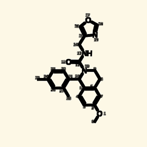 COc1ccc2c(c1)CCN(C(=O)NCc1cocn1)C2c1ccc(C)cc1C